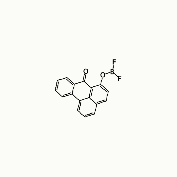 O=C1c2ccccc2-c2cccc3ccc(OB(F)F)c1c23